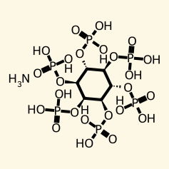 N.O=P(O)(O)O[C@H]1[C@H](OP(=O)(O)O)[C@@H](OP(=O)(O)O)[C@H](OP(=O)(O)O)[C@@H](OP(=O)(O)O)[C@H]1OP(=O)(O)O